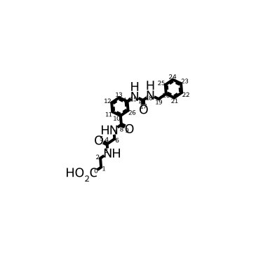 O=C(O)CCNC(=O)CNC(=O)c1cccc(NC(=O)NCc2ccccc2)c1